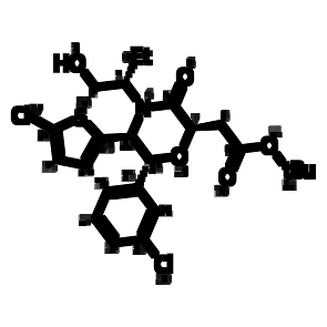 CC[C@@H](CO)N1C(=O)[C@@H](CC(=O)OC(C)(C)C)O[C@H](c2cccc(Cl)c2)[C@H]1c1ccc(Cl)s1